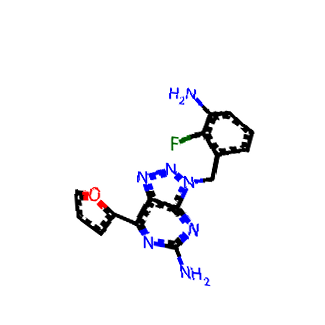 Nc1nc(-c2ccco2)c2nnn(Cc3cccc(N)c3F)c2n1